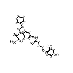 CC1Oc2cc(NC(=O)CCCOc3ccc(Cl)cc3Cl)ccc2N(CCc2ccccc2)C1=O